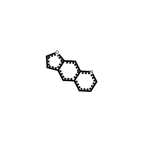 [c]1cc2cc3cccnc3cc2o1